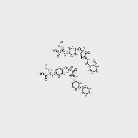 CCOC(Cc1ccc(OC(C)(C)C(=O)NCc2cccc(-c3ccccc3)c2)cc1)C(=O)O.CCO[C@@H](Cc1ccc(OC(C)(C)C(=O)NCCc2ccccc2Cl)cc1)C(=O)O